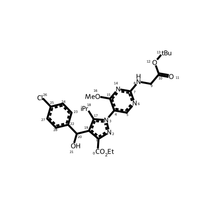 CCOC(=O)c1nn(-c2cnc(NCC(=O)OC(C)(C)C)nc2OC)c(C(C)C)c1C(O)c1ccc(Cl)cc1